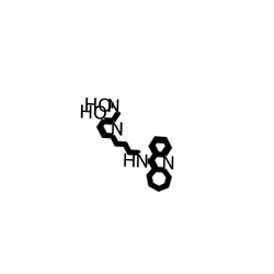 O/N=C\c1nc(CCCCNc2c3c(nc4ccccc24)CCCCC3)ccc1O